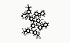 Cc1cc2c3c(c1)N(c1cccc4c1oc1ccccc14)c1cc(N4c5ccc(C(C)(C)C)cc5C5(C)CCCCC45C)ccc1B3c1ccc(N(c3ccc(C(C)(C)C)cc3)c3ccc(C(C)(C)C)cc3)cc1N2c1cccc2c1oc1ccccc12